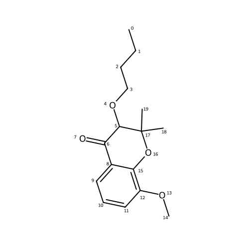 CCCCOC1C(=O)c2cccc(OC)c2OC1(C)C